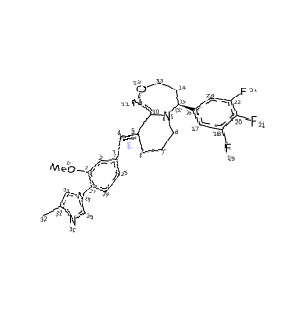 COc1cc(/C=C2\CCCN3C2=NOCC[C@H]3c2cc(F)c(F)c(F)c2)ccc1-n1cnc(C)c1